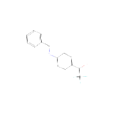 OC(C1CCC(NCc2ccccc2)CC1)C(F)(F)F